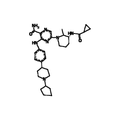 CC1[C@H](NC(=O)C2CC2)CCCN1c1cnc(C(N)=O)c(Nc2ccc(C3CCN(C4CCCC4)CC3)cc2)n1